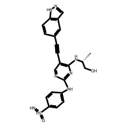 C[C@H](CO)Nc1nc(Nc2ccc([SH](=N)=O)cc2)ncc1C#Cc1ccc2[nH]ncc2c1